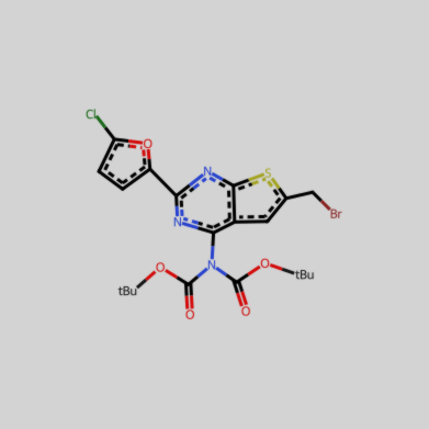 CC(C)(C)OC(=O)N(C(=O)OC(C)(C)C)c1nc(-c2ccc(Cl)o2)nc2sc(CBr)cc12